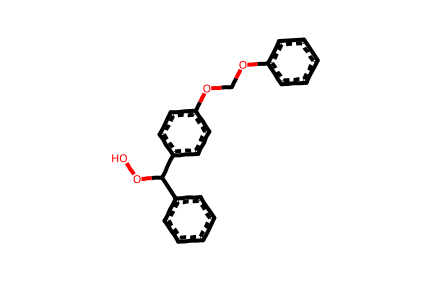 OOC(c1ccccc1)c1ccc(OCOc2ccccc2)cc1